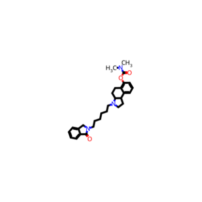 CN(C)C(=O)Oc1cccc2c1CCC1C2CCN1CCCCCCN1Cc2ccccc2C1=O